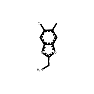 Cc1cc2oc(CN)nc2cc1Cl